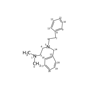 CN(C)CCN(CCc1ccccc1)Cc1ccccc1